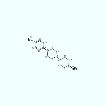 CCC[C@H]1CC[C@H]([C@H]2CC[C@H](c3ccc(CC)cc3)CC2)CC1